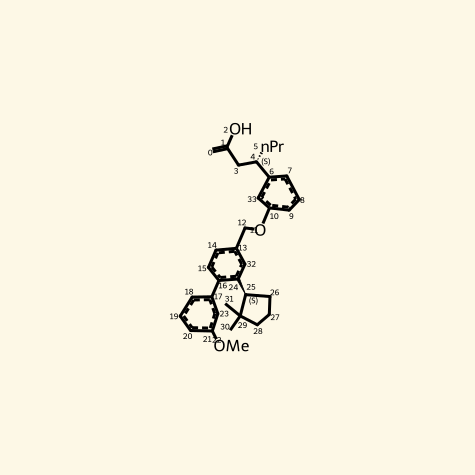 C=C(O)C[C@H](CCC)c1cccc(OCc2ccc(-c3cccc(OC)c3)c([C@H]3CCCC3(C)C)c2)c1